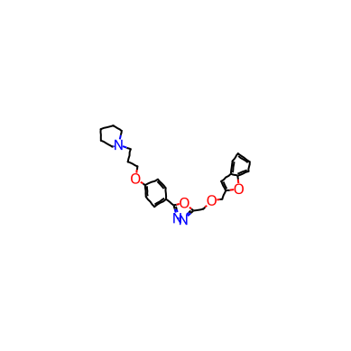 c1ccc2oc(COCc3nnc(-c4ccc(OCCCN5CCCCC5)cc4)o3)cc2c1